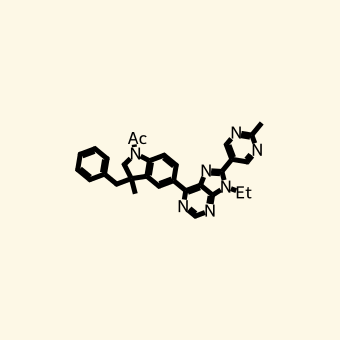 CCn1c(-c2cnc(C)nc2)nc2c(-c3ccc4c(c3)C(C)(Cc3ccccc3)CN4C(C)=O)ncnc21